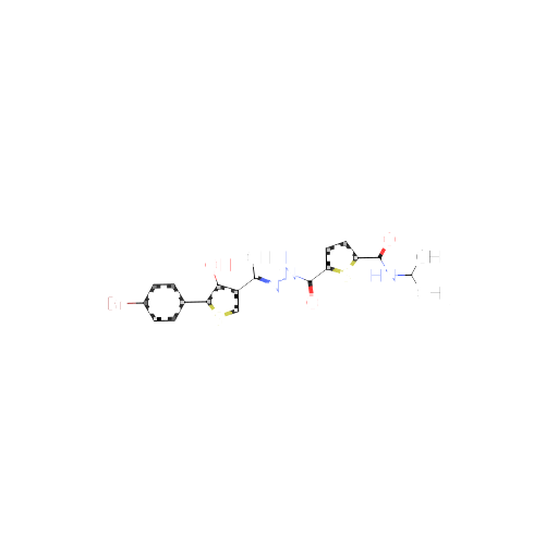 C/C(=N\NC(=O)c1ccc(C(=O)NC(C)C)s1)c1csc(-c2ccc(Br)cc2)c1O